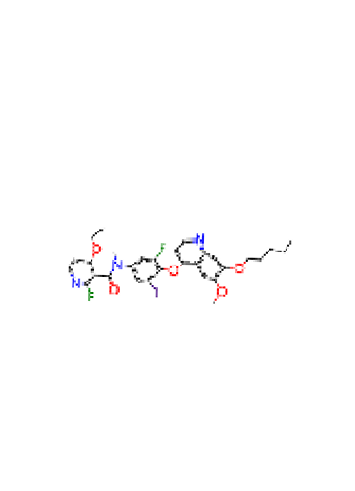 CCCCCOc1cc2nccc(Oc3c(F)cc(N(C)C(=O)c4c(OCC)ccnc4F)cc3I)c2cc1OC